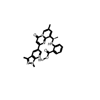 Cc1cc([C@@H](C)Nc2ccccc2C(=O)OC(C)(C)C)c2nc(-c3cnc4c(c3)c(C)nn4C)cc(=O)n2c1